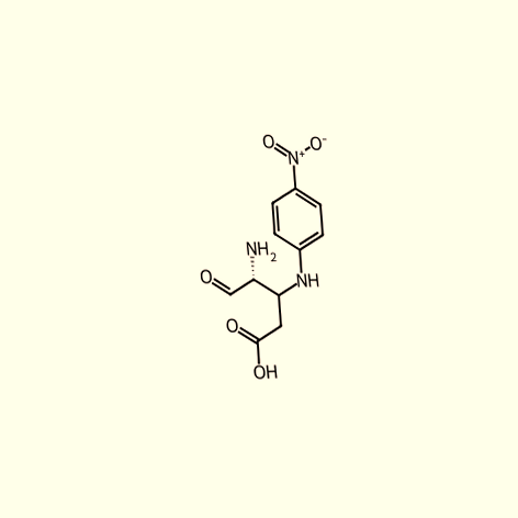 N[C@@H](C=O)C(CC(=O)O)Nc1ccc([N+](=O)[O-])cc1